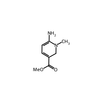 COC(=O)C1=CC=C(N)N(C)C1